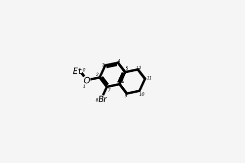 CCOc1ccc2c(c1Br)CCCC2